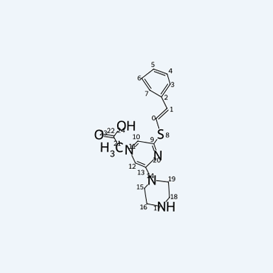 C(=Cc1ccccc1)Sc1cncc(N2CCNCC2)n1.CC(=O)O